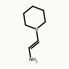 NC=CN1CCCCC1